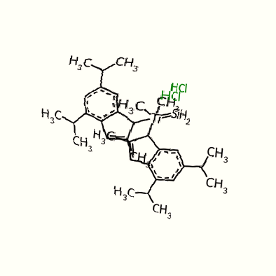 CC1=Cc2c(C(C)C)cc(C(C)C)cc2[CH]1[Ti]([CH3])([CH3])(=[SiH2])[CH]1C(C)=Cc2c(C(C)C)cc(C(C)C)cc21.Cl.Cl